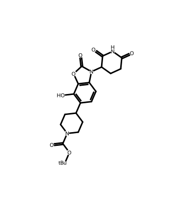 CC(C)(C)OC(=O)N1CCC(c2ccc3c(oc(=O)n3C3CCC(=O)NC3=O)c2O)CC1